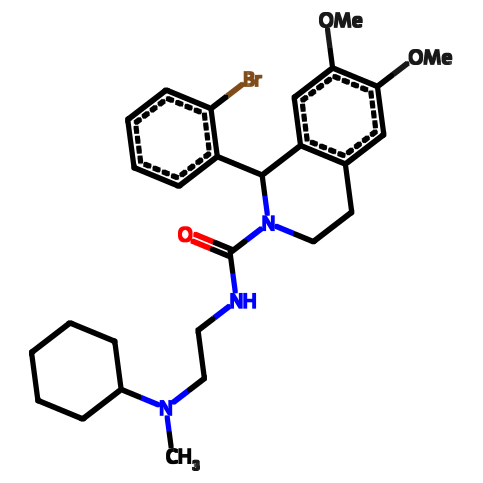 COc1cc2c(cc1OC)C(c1ccccc1Br)N(C(=O)NCCN(C)C1CCCCC1)CC2